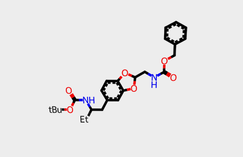 CCC(Cc1ccc2c(c1)OC(CNC(=O)OCc1ccccc1)O2)NC(=O)OC(C)(C)C